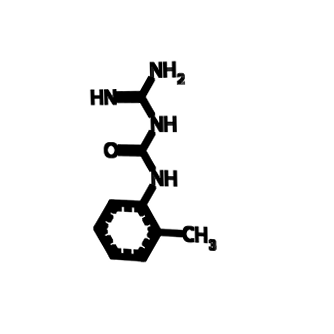 Cc1ccccc1NC(=O)NC(=N)N